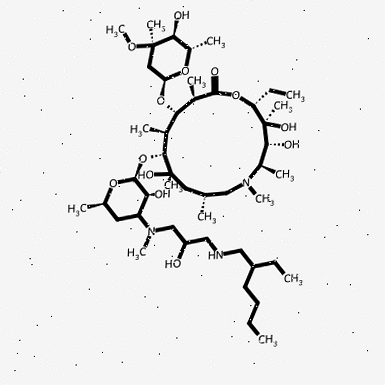 CCCCC(CC)CNCC(O)CN(C)C1C[C@@H](C)O[C@@H](O[C@@H]2[C@@H](C)[C@H](O[C@H]3C[C@@](C)(OC)[C@@H](O)[C@H](C)O3)[C@@H](C)C(=O)O[C@H](CC)[C@@](C)(O)[C@H](O)[C@@H](C)N(C)C[C@H](C)C[C@@]2(C)O)[C@@H]1O